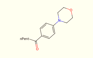 CCCCCC(=O)c1ccc(N2CCOCC2)cc1